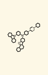 C1=CC(c2ccccc2)CC=C1c1ccc(N(c2cccc(-n3c4ccccc4c4ccccc43)c2)c2ccc3c(c2)oc2c4ccccc4ccc32)cc1